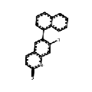 O=c1[c]cc2cc(-c3cccc4ccccc34)c(Cl)cc2[nH]1